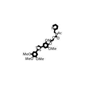 COc1cc(C2SCC(c3cc(OC)c(OCCOC(=O)N(Cc4ccccn4)C(C)=O)c(OC)c3)S2)cc(OC)c1OC